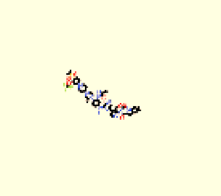 C=CC(=O)Nc1cc(Nc2nc(-c3ccnc(N4CCn5c(cc6c5CC(C)(C)C6)C4=O)c3CO)cn(C)c2=O)ccc1N1CCN(C2CCN(c3ccc(S(=O)(=O)C(C)C)c(OC(F)(F)F)c3)CC2)C[C@@H]1C